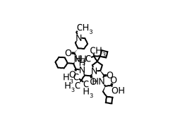 CCN1CCC[C@H](C(=O)N[C@H](C(=O)N[C@@H](C(=O)N2CC3(C[C@H]2C(=O)N[C@H](CC2CCC2)C(=O)O)C(C)(C)C32CCC2)C(C)(C)C)C2CCCCC2)C1